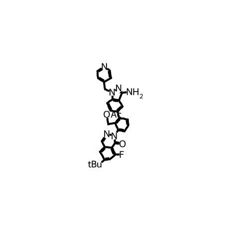 CC(=O)OCc1c(-c2ccc3c(c2)c(N)nn3Cc2ccncc2)cccc1-n1ncc2cc(C(C)(C)C)cc(F)c2c1=O